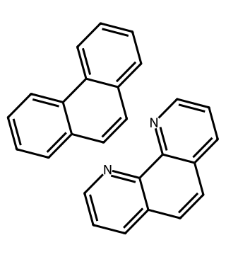 c1ccc2c(c1)ccc1ccccc12.c1cnc2c(c1)ccc1cccnc12